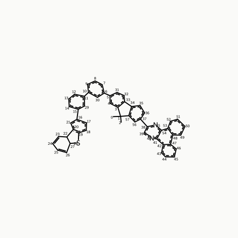 CC1(C)c2cc(-c3cccc(-c4cccc(-c5ccc6c(c5)C5C=CC=CC5S6)c4)c3)ccc2-c2ccc(-c3cnc4c5ccccc5c5ccccc5c4n3)cc21